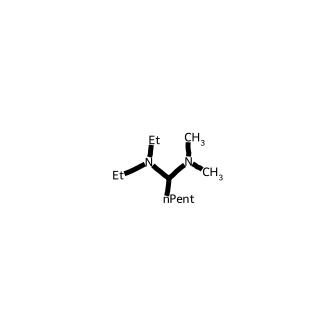 CCCCCC(N(C)C)N(CC)CC